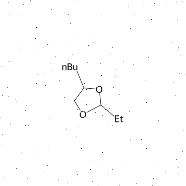 CCCCC1COC(CC)O1